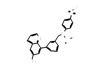 CC(C)c1cc(-c2cccc(CN(c3ccc(S(C)(=O)=O)cc3)[S+]([O-])C(C)C)c2)c2ncccc2c1